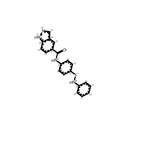 O=C(Nc1ccc(SNc2ccccc2)cc1)c1ccc2[nH]ncc2c1